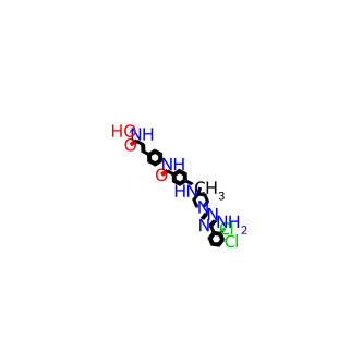 CC1(NCc2ccc(C(=O)Nc3ccc(C=CC(=O)NO)cc3)cc2)CCN(c2cnc(-c3cccc(Cl)c3Cl)c(N)n2)CC1